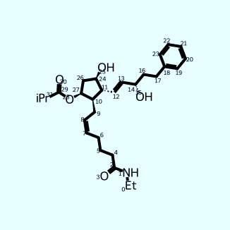 CCNC(=O)CCC/C=C\C[C@@H]1[C@@H](/C=C/[C@@H](O)CCc2ccccc2)[C@H](O)C[C@@H]1OC(=O)C(C)C